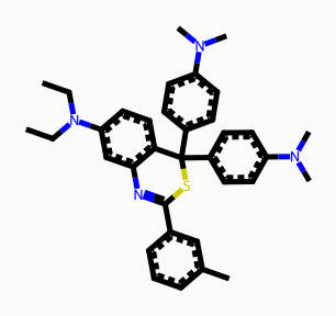 CCN(CC)c1ccc2c(c1)N=C(c1cccc(C)c1)SC2(c1ccc(N(C)C)cc1)c1ccc(N(C)C)cc1